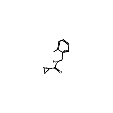 O=C(NCc1ccccc1Cl)C1CC1